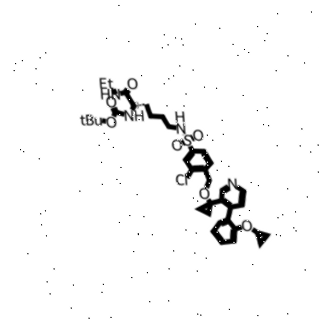 CCNC(=O)[C@H](CCCCNS(=O)(=O)c1ccc(COC2(c3cnccc3-c3ccccc3OC3CC3)CC2)c(Cl)c1)NC(=O)OC(C)(C)C